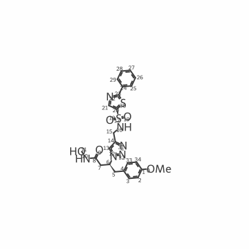 COc1ccc(C[C@@H](CC(=O)NO)n2cc(CNS(=O)(=O)c3cnc(-c4ccccc4)s3)nn2)cc1